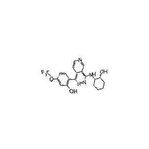 Oc1cc(OC(F)(F)F)ccc1-c1nnc(N[C@@H]2CCCC[C@@H]2O)c2cnccc12